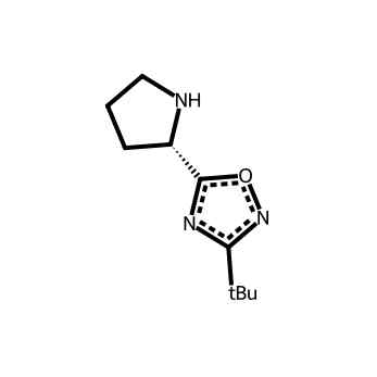 CC(C)(C)c1noc([C@@H]2CCCN2)n1